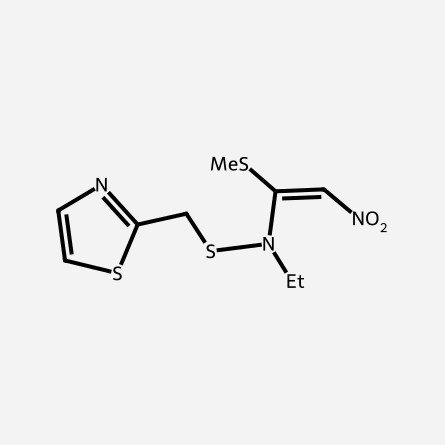 CCN(SCc1nccs1)/C(=C\[N+](=O)[O-])SC